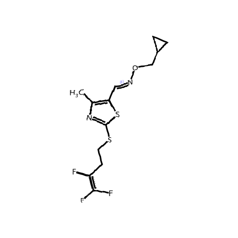 Cc1nc(SCCC(F)=C(F)F)sc1/C=N/OCC1CC1